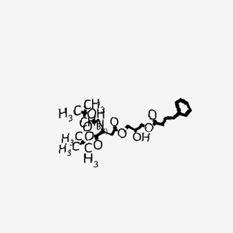 CC(C)(C)OC(=O)N[C@@H](CC(=O)OCC(O)COC(=O)CCCc1ccccc1)C(=O)OC(C)(C)C